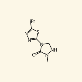 CC(C)c1nnc(N2CNN(C)C2=O)s1